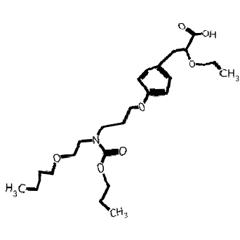 CCCCOCCN(CCCOc1ccc(CC(OCC)C(=O)O)cc1)C(=O)OCCC